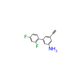 C#Cc1cc(N)cc(-c2ccc(F)cc2F)c1